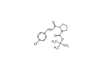 CC(C)(C)OC(=O)N1CCCC1C(=O)/C=C/c1ccc(Cl)cc1